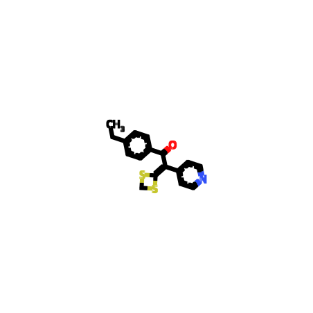 CCc1ccc(C(=O)C(=C2SCS2)c2ccncc2)cc1